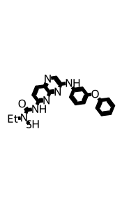 CCN(S)C(=O)Nc1ccc2ncc(Nc3cccc(Oc4ccccc4)c3)nc2n1